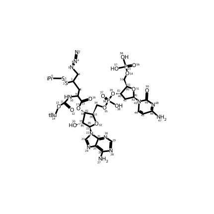 CC(C)SSC(CN=[N+]=[N-])CC(NC(=O)OC(C)(C)C)C(=O)O[C@H]1[C@@H](O)[C@H](n2cnc3c(N)ncnc32)O[C@@H]1COP(=O)(O)O[C@H]1C[C@H](n2ccc(N)nc2=O)O[C@@H]1COP(=O)(O)O